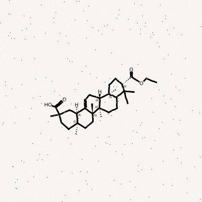 CCOC(=O)[C@H]1CC[C@@]2(C)C(CC[C@]3(C)[C@@H]2CC=C2[C@@H]4CC(C)(C(=O)O)CC[C@]4(C)CC[C@]23C)C1(C)C